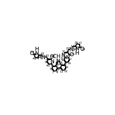 COc1nc(-c2cccc(-c3cccc(-c4ccn5c(=O)c(CNCC6CCC(=O)N6)cnc5c4)c3Cl)c2C#N)ccc1CNCC1CCC(=O)N1